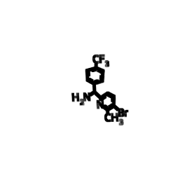 Cc1nc(C(N)c2ccc(C(F)(F)F)cc2)ccc1Br